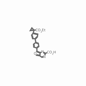 CCOC(=O)C1(c2ccc(-c3ccc(-c4occ5cnc(C(=O)O)nc45)cc3)cc2)CC1